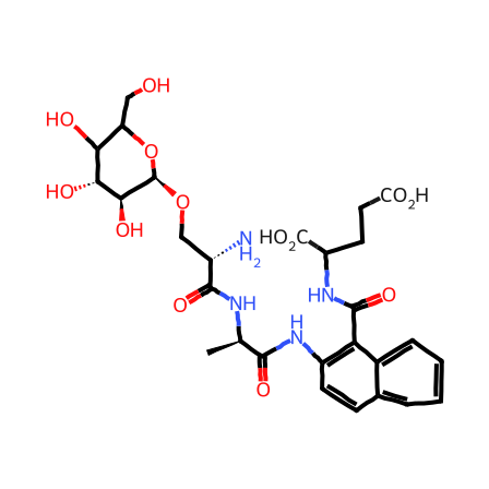 C[C@@H](NC(=O)[C@@H](N)CO[C@@H]1OC(CO)C(O)[C@@H](O)[C@@H]1O)C(=O)Nc1ccc2ccccc2c1C(=O)NC(CCC(=O)O)C(=O)O